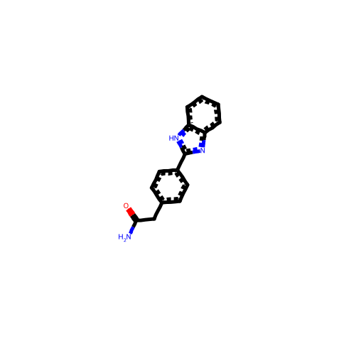 NC(=O)Cc1ccc(-c2nc3ccccc3[nH]2)cc1